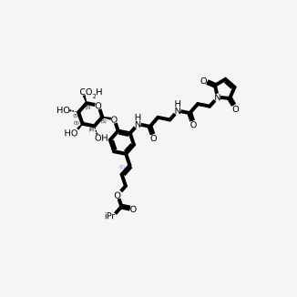 CC(C)C(=O)OC/C=C/c1ccc(O[C@@H]2O[C@H](C(=O)O)[C@@H](O)[C@H](O)[C@H]2O)c(NC(=O)CCNC(=O)CCN2C(=O)C=CC2=O)c1